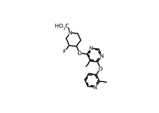 Cc1ncccc1Oc1ncnc(OC2CCN(C(=O)O)CC2F)c1C